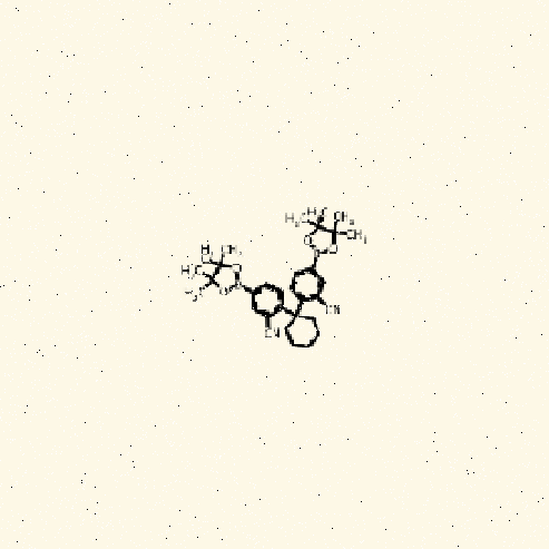 CC1(C)OB(c2ccc(C3(c4ccc(B5OC(C)(C)C(C)(C)O5)cc4C#N)CCCCC3)c(C#N)c2)OC1(C)C